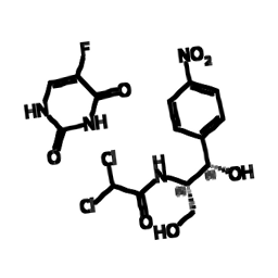 O=C(N[C@@H](CO)[C@@H](O)c1ccc([N+](=O)[O-])cc1)C(Cl)Cl.O=c1[nH]cc(F)c(=O)[nH]1